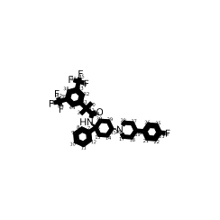 CC(C)(C(=O)N[C@]1(c2ccccc2)CC[C@@H](N2CCC(c3ccc(F)cc3)CC2)CC1)c1cc(C(F)(F)F)cc(C(F)(F)F)c1